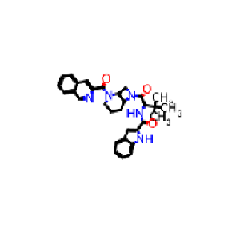 CC(C)(C)C(NC(=O)c1cc2ccccc2[nH]1)C(=O)N1CC2C1CCCN2C(=O)c1cc2ccccc2cn1